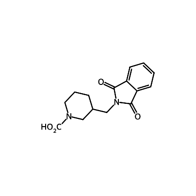 O=C(O)N1CCCC(CN2C(=O)c3ccccc3C2=O)C1